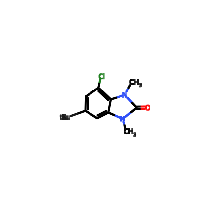 Cn1c(=O)n(C)c2c(Cl)cc(C(C)(C)C)cc21